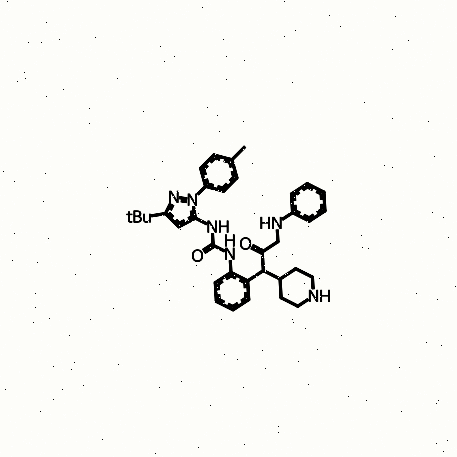 Cc1ccc(-n2nc(C(C)(C)C)cc2NC(=O)Nc2ccccc2C(C(=O)CNc2ccccc2)C2CCNCC2)cc1